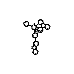 c1ccc(-c2nc(-c3ccc(-c4ccc5c(c4)sc4ccccc45)cc3)nc(-c3cccc4c3C3(c5ccccc5-4)C4CC5CC(C4)CC3C5)n2)cc1